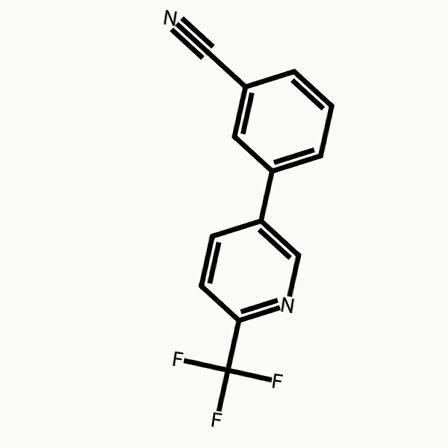 N#Cc1cccc(-c2ccc(C(F)(F)F)nc2)c1